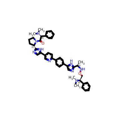 C[C@H](NOC[C@@H](c1ccccc1)N(C)C)c1ncc(-c2ccc(-c3ccc(-c4cnc([C@@H]5CCCN5C(=O)[C@@H](c5ccccc5)N(C)C)[nH]4)cn3)cc2)[nH]1